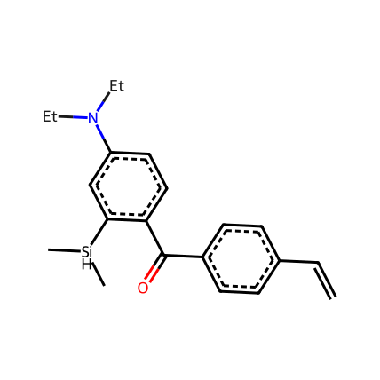 C=Cc1ccc(C(=O)c2ccc(N(CC)CC)cc2[SiH](C)C)cc1